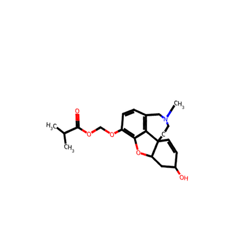 CC(C)C(=O)OCOc1ccc2c3c1OC1CC(O)C=CC31CCN(C)C2